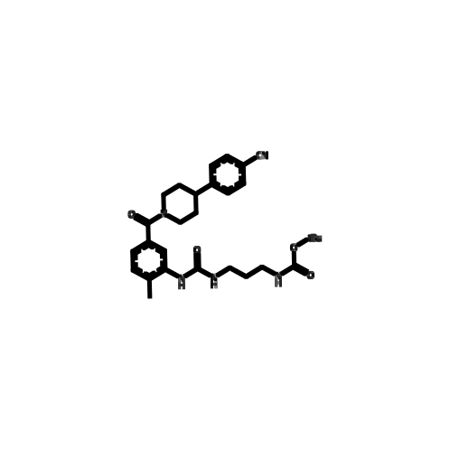 Cc1ccc(C(=O)N2CCC(c3ccc(C#N)cc3)CC2)cc1NC(=O)NCCCNC(=O)OC(C)(C)C